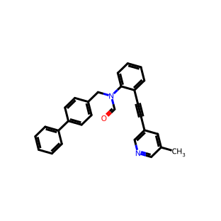 Cc1cncc(C#Cc2ccccc2N(C=O)Cc2ccc(-c3ccccc3)cc2)c1